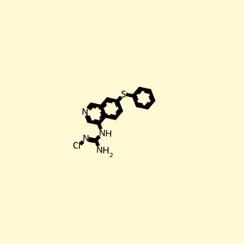 NC(=NCl)Nc1cncc2cc(Sc3ccccc3)ccc12